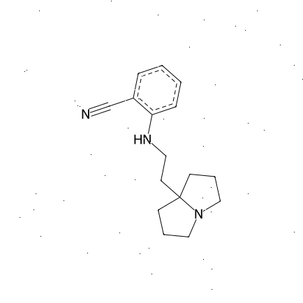 N#Cc1ccccc1NCCC12CCCN1CCC2